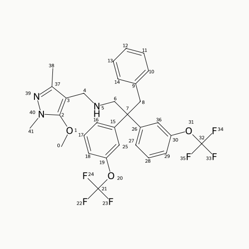 COc1c(CNCC(Cc2ccccc2)(c2cccc(OC(F)(F)F)c2)c2cccc(OC(F)(F)F)c2)c(C)nn1C